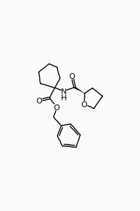 O=C(NC1(C(=O)OCc2ccccc2)CCCCC1)[C@H]1CCCO1